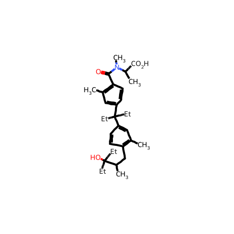 CCC(CC)(c1ccc(CC(C)C(O)(CC)CC)c(C)c1)c1ccc(C(=O)N(C)C(C)C(=O)O)c(C)c1